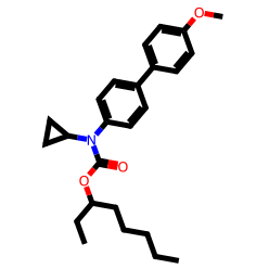 CCCCCC(CC)OC(=O)N(c1ccc(-c2ccc(OC)cc2)cc1)C1CC1